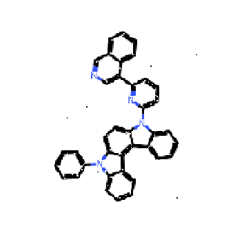 c1ccc(-n2c3ccccc3c3c4c5ccccc5n(-c5cccc(-c6cncc7ccccc67)n5)c4ccc32)cc1